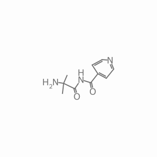 CC(C)(N)C(=O)NC(=O)c1ccncc1